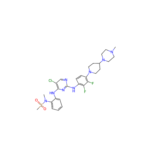 CN1CCN(C2CCN(c3ccc(Nc4ncc(Cl)c(Nc5ccccc5N(C)S(C)(=O)=O)n4)c(F)c3F)CC2)CC1